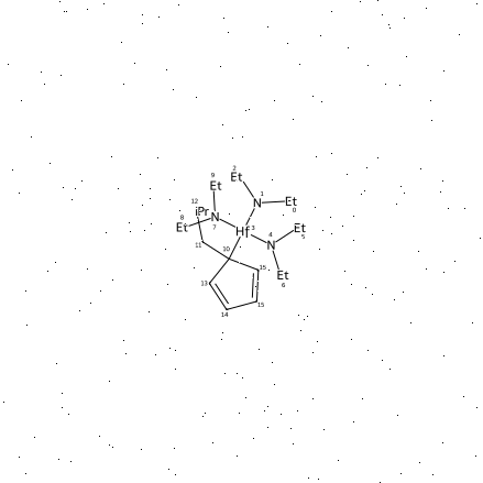 CC[N](CC)[Hf]([N](CC)CC)([N](CC)CC)[C]1(CC(C)C)C=CC=C1